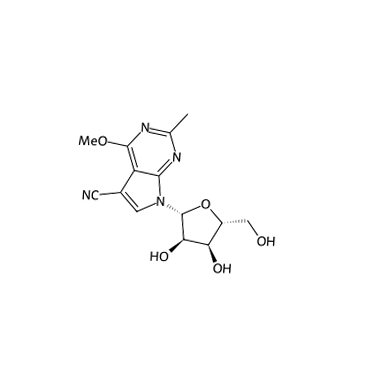 COc1nc(C)nc2c1c(C#N)cn2[C@@H]1O[C@H](CO)[C@@H](O)[C@H]1O